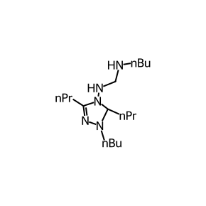 CCCCNCNN1C(CCC)=NN(CCCC)C1CCC